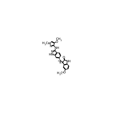 COc1ccc2c(c1)[C@]1(C[C@H]1c1ccc3c(Nc4nn(C)cc4OC)n[nH]c3c1)C(=O)N2